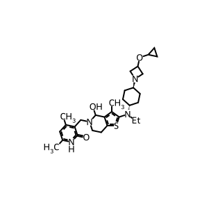 CCN(c1sc2c(c1C)C(O)N(Cc1c(C)cc(C)[nH]c1=O)CC2)[C@H]1CC[C@H](N2CC(OC3CC3)C2)CC1